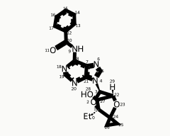 CC[C@@]12O[C@@H](n3cnc4c(NC(=O)c5ccccc5)ncnc43)[C@@H](OC13CC3)C2O